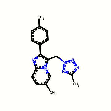 Cc1ccc(-c2nc3ccc(C)cn3c2Cn2nnc(C)n2)cc1